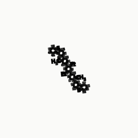 CCc1cc(-c2ccc(-c3ccc4sc5ccccc5c4c3)c(C)c2)c(CC)cc1-c1ccc(-c2ccc3sc4ccccc4c3c2)c(C)c1